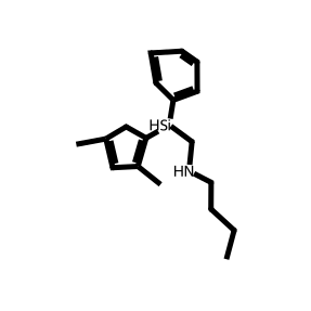 CCCCNC[SiH](C1=C(C)C=C(C)C1)c1ccccc1